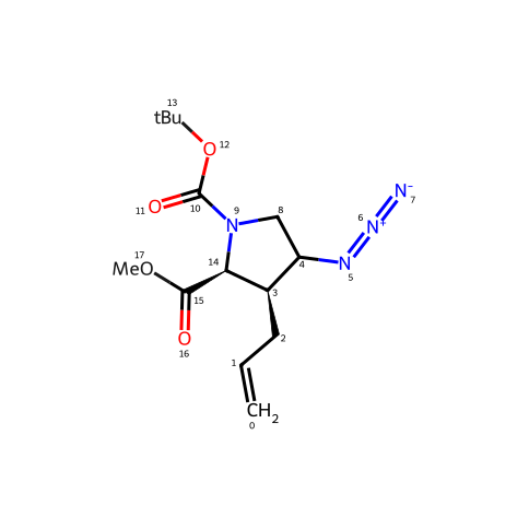 C=CC[C@@H]1C(N=[N+]=[N-])CN(C(=O)OC(C)(C)C)[C@@H]1C(=O)OC